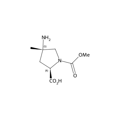 COC(=O)N1C[C@@](C)(N)C[C@@H]1C(=O)O